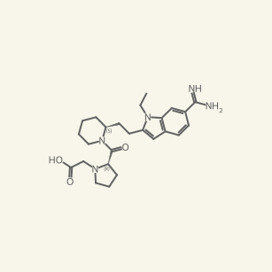 CCn1c(CC[C@@H]2CCCCN2C(=O)[C@H]2CCCN2CC(=O)O)cc2ccc(C(=N)N)cc21